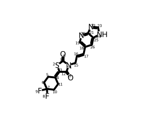 O=C1SC(=C2CCC(F)(F)CC2)C(=O)N1CC=Cc1cnc2nc[nH]c2c1